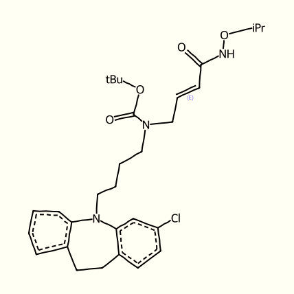 CC(C)ONC(=O)/C=C/CN(CCCCN1c2ccccc2CCc2ccc(Cl)cc21)C(=O)OC(C)(C)C